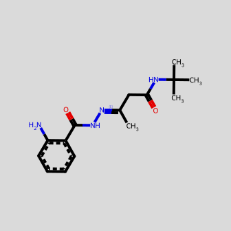 C/C(CC(=O)NC(C)(C)C)=N\NC(=O)c1ccccc1N